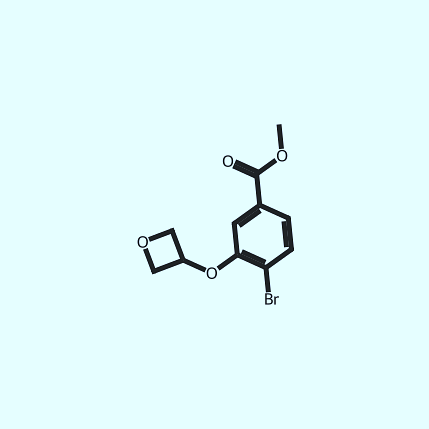 COC(=O)c1ccc(Br)c(OC2COC2)c1